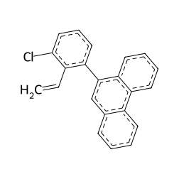 C=Cc1c(Cl)cccc1-c1cc2ccccc2c2ccccc12